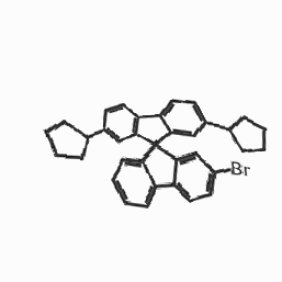 Brc1ccc2c(c1)C1(c3ccccc3-2)c2cc(C3CCCC3)ccc2-c2ccc(C3CCCC3)cc21